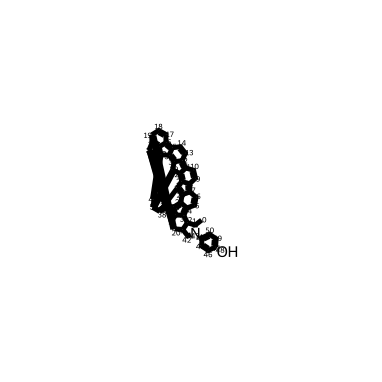 CC1C2c3c4ccc5c6ccc7c8ccc9c%10ccc%11c(c%12c3c3c4c5c4c6c7c5c8c9c6c%10c%11c%12c7c3c4c5c67)C2CN1c1ccc(O)cc1